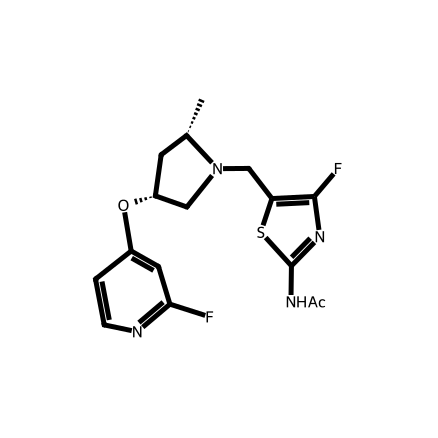 CC(=O)Nc1nc(F)c(CN2C[C@H](Oc3ccnc(F)c3)C[C@@H]2C)s1